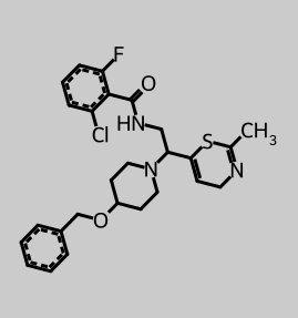 CC1=NCC=C(C(CNC(=O)c2c(F)cccc2Cl)N2CCC(OCc3ccccc3)CC2)S1